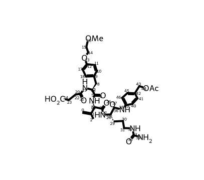 C=C(C)[C@H](NC(=O)[C@H](Cc1ccc(OCCOC)cc1)NC(=O)CCC(=O)O)C(=O)N[C@@H](CCCNC(N)=O)C(=O)Nc1ccc(COC(C)=O)cc1